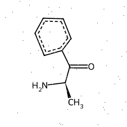 C[C@@H](N)C(=O)c1ccccc1